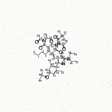 CCCCC1=C(C(=O)N(C(C)=O)C(C)C)C(=O)N(N(C(C)=O)C(=O)C(C)(C)C)C(=O)/C1=C\c1sc(N(CC)CC)nc1-c1c(C)cc(OC(C)C)cc1C